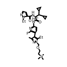 CCc1c(-c2ccc(NC(=O)[C@@H](NC(=O)c3ccnn3CC)C(C3CC3)C3CC3)nc2F)c(C)nn1COCC[Si](C)(C)C